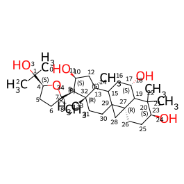 CC(C)(O)[C@@H]1CC[C@](C)([C@H]2[C@@H](O)C[C@@]3(C)C4C[C@H](O)C5C(C)(C)[C@@H](O)CC[C@@]56CC46CC[C@]23C)O1